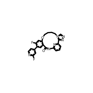 O=C1Nc2cccc(n2)-c2nncn2CCCCOc2cc(F)c(-c3ccnc(F)c3)cc21